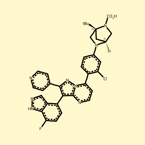 CC(C)(C)[C@]12C[C@@H](CN1C(=O)O)N(c1ccc(-c3ccnc4c(-c5ccc(F)c6[nH]ncc56)c(-c5ccncc5)nn34)c(Cl)c1)C2